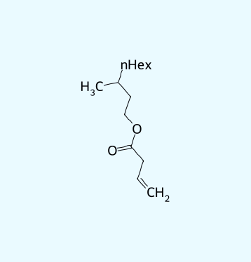 C=CCC(=O)OCCC(C)CCCCCC